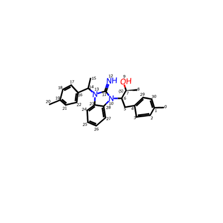 Cc1ccc(CC([C@H](C)O)n2c(=N)n(C(C)c3ccc(C)cc3)c3ccccc32)cc1